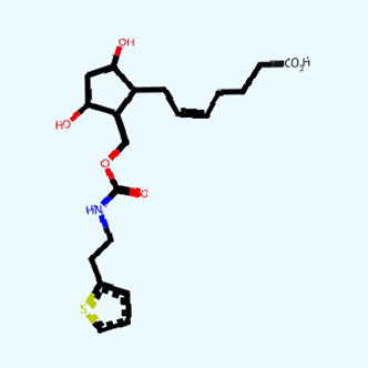 O=C(O)CCC/C=C\CC1C(O)CC(O)C1COC(=O)NCCc1cccs1